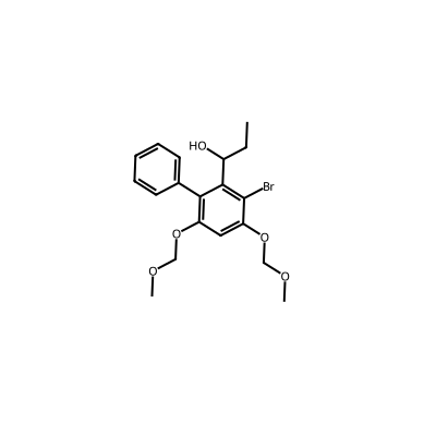 CCC(O)c1c(Br)c(OCOC)cc(OCOC)c1-c1ccccc1